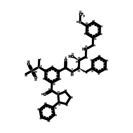 CN(c1cc(C(=O)N[C@@H](Cc2ccccc2)[C@H](O)CNCc2cccc(OC(F)(F)F)c2)cc(C(=O)N2CCCC2c2ccccc2)c1)S(C)(=O)=O